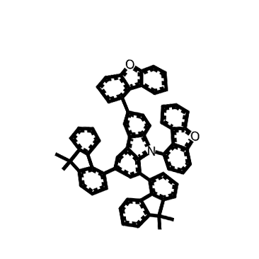 CC1(C)c2ccccc2-c2c(-c3cc(-c4cccc5c4-c4ccccc4C5(C)C)c4c(c3)c3cc(-c5cccc6oc7ccccc7c56)ccc3n4-c3cccc4oc5ccccc5c34)cccc21